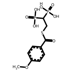 COc1ccc(C(=O)SCC(P(=O)(O)O)P(=O)(O)O)cc1